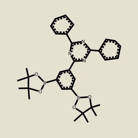 CC1(C)OB(c2cc(B3OC(C)(C)C(C)(C)O3)cc(-c3nc(-c4ccccc4)nc(-c4ccccc4)n3)c2)OC1(C)C